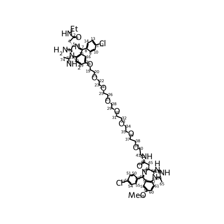 CCNC(=O)C[C@@H]1N=C(c2ccc(Cl)cc2)c2cc(OCCOCCOCCOCCOCCOCCOCCOCCNC(=O)C[C@@H]3N=C(c4ccc(Cl)cc4)c4cc(OC)ccc4N4C(C)NNC34)ccc2N(C(C)N)C1N